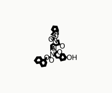 O=C(NC(Cc1ccc(O)cc1)C(=O)N1CCC2C1C(=O)CN2S(=O)(=O)Cc1ccccn1)Oc1cccc2ccccc12